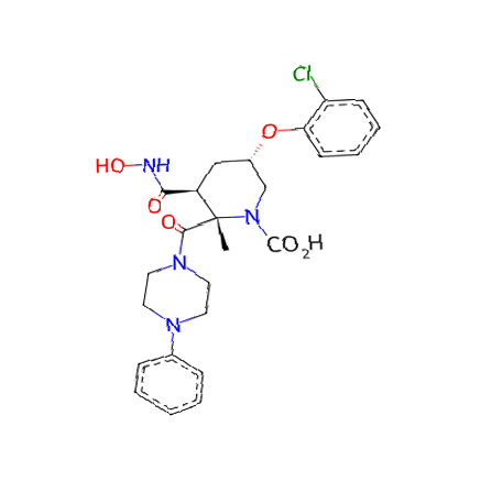 C[C@@]1(C(=O)N2CCN(c3ccccc3)CC2)[C@@H](C(=O)NO)C[C@H](Oc2ccccc2Cl)CN1C(=O)O